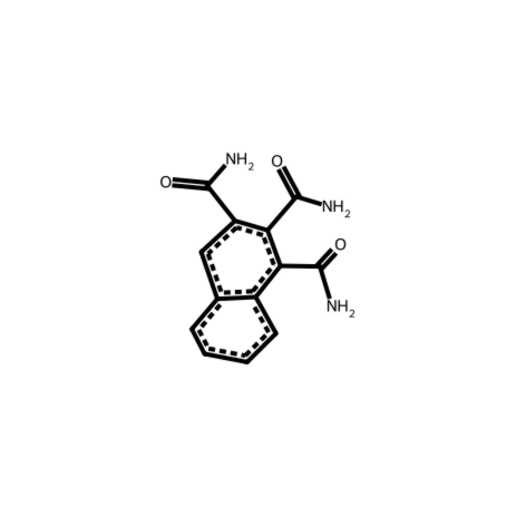 NC(=O)c1cc2ccccc2c(C(N)=O)c1C(N)=O